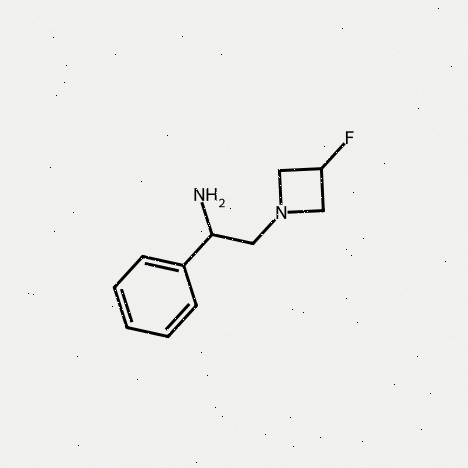 NC(CN1CC(F)C1)c1ccccc1